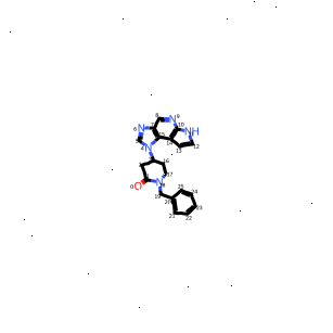 O=C1CC(n2cnc3cnc4[nH]ccc4c32)CCN1Cc1ccccc1